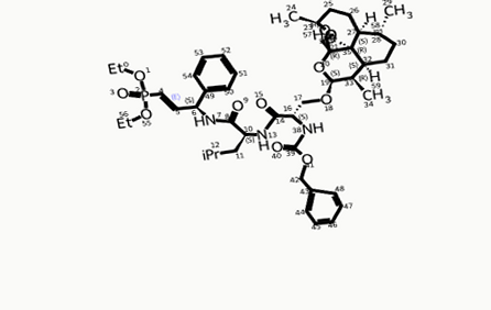 CCOP(=O)(/C=C/[C@H](NC(=O)[C@H](CC(C)C)NC(=O)[C@H](CO[C@H]1O[C@@H]2O[C@@]3(C)CC[C@H]4[C@H](C)CC[C@@H]([C@H]1C)[C@@]24OO3)NC(=O)OCc1ccccc1)c1ccccc1)OCC